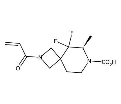 C=CC(=O)N1CC2(CCN(C(=O)O)[C@H](C)C2(F)F)C1